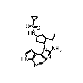 CC[C@@H]1C[C@H](NS(=O)(=O)C2CC2)C[C@@H]1n1c(N)nc2cnc3[nH]ccc3c21